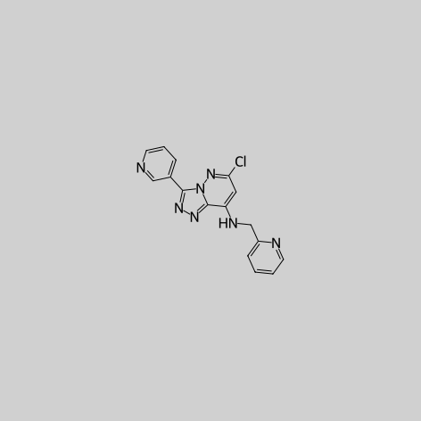 Clc1cc(NCc2ccccn2)c2nnc(-c3cccnc3)n2n1